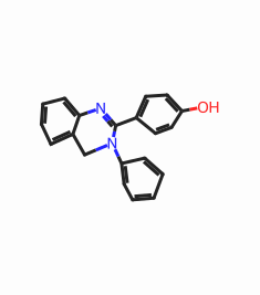 Oc1ccc(C2=Nc3ccccc3CN2c2ccccc2)cc1